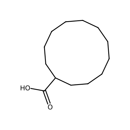 O=C(O)C1CCCCCCCCCCC1